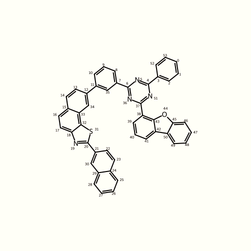 c1ccc(-c2nc(-c3cccc(-c4ccc5ccc6nc(-c7ccc8ccccc8c7)sc6c5c4)c3)nc(-c3cccc4c3oc3ccccc34)n2)cc1